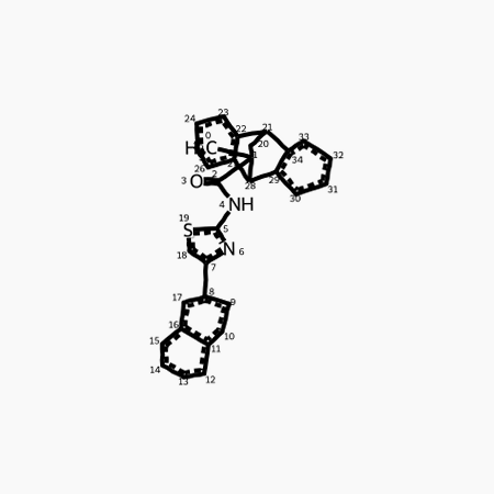 CC1(C(=O)Nc2nc(-c3ccc4ccccc4c3)cs2)CC2c3ccccc3C1c1ccccc12